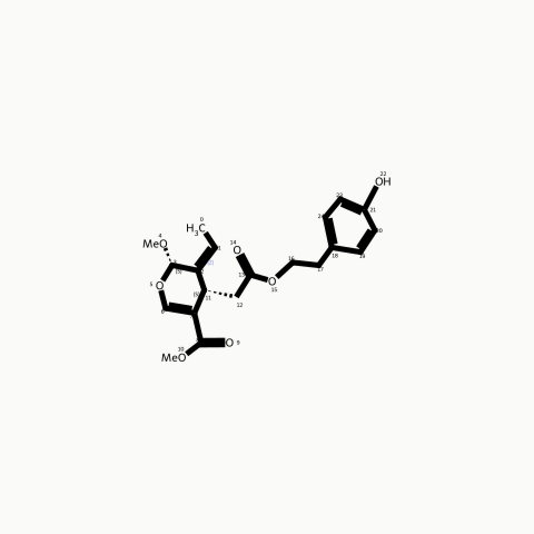 C/C=C1\[C@@H](OC)OC=C(C(=O)OC)[C@H]1CC(=O)OCCc1ccc(O)cc1